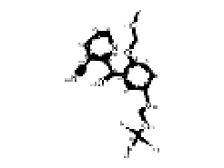 COCOc1ccc(OCOC(F)(F)F)cc1C(=O)c1ncccc1C#N